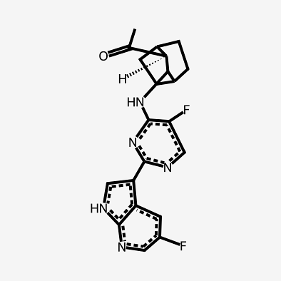 CC(=O)[C@H]1C2CCC(CC2)C1Nc1nc(-c2c[nH]c3ncc(F)cc23)ncc1F